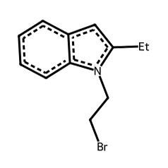 [CH2]Cc1cc2ccccc2n1CCBr